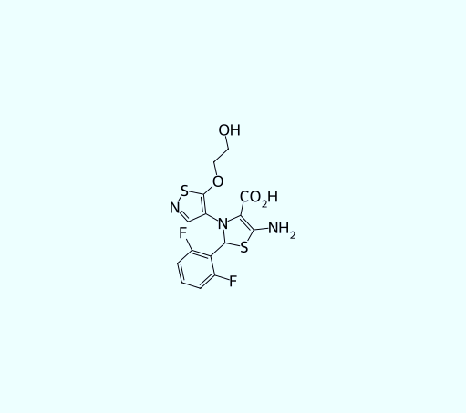 NC1=C(C(=O)O)N(c2cnsc2OCCO)C(c2c(F)cccc2F)S1